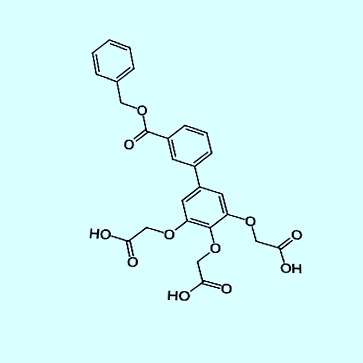 O=C(O)COc1cc(-c2cccc(C(=O)OCc3ccccc3)c2)cc(OCC(=O)O)c1OCC(=O)O